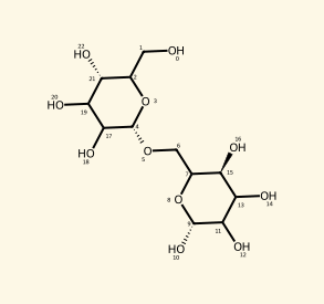 OCC1O[C@H](OCC2O[C@@H](O)C(O)C(O)[C@@H]2O)C(O)C(O)[C@@H]1O